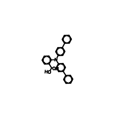 OC(O)c1ccccc1N(c1ccc(-c2ccccc2)cc1)c1ccc(-c2ccccc2)cc1